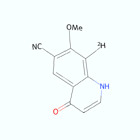 [2H]c1c(OC)c(C#N)cc2c(=O)cc[nH]c12